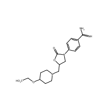 N=C(N)c1ccc(N2CC(CN3CCC(OCC(=O)O)CC3)OC2=O)cc1